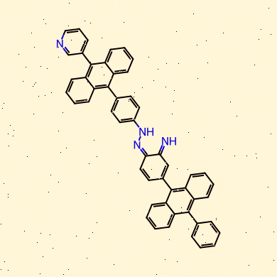 N=C1C=C(c2c3ccccc3c(-c3ccccc3)c3ccccc23)C=C/C1=N/Nc1ccc(-c2c3ccccc3c(-c3cccnc3)c3ccccc23)cc1